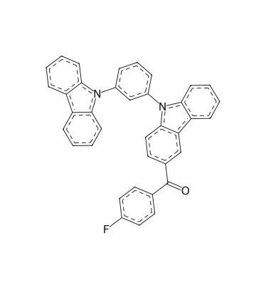 O=C(c1ccc(F)cc1)c1ccc2c(c1)c1ccccc1n2-c1cccc(-n2c3ccccc3c3ccccc32)c1